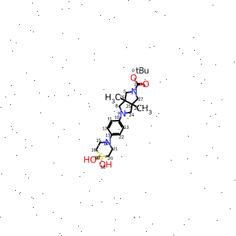 CC(C)(C)OC(=O)N1CC2(C)CN(c3ccc(N4CCS(O)(O)CC4)cc3)CC2(C)C1